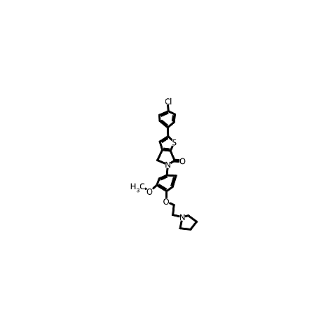 COc1cc(N2Cc3cc(-c4ccc(Cl)cc4)sc3C2=O)ccc1OCCN1CCCC1